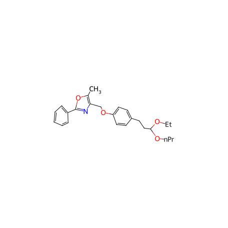 CCCOC(CCc1ccc(OCc2nc(-c3ccccc3)oc2C)cc1)OCC